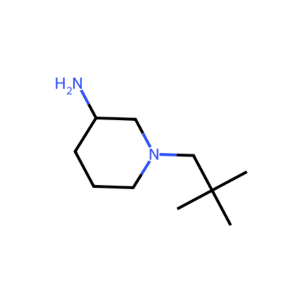 CC(C)(C)CN1CCCC(N)C1